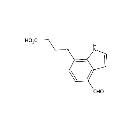 O=Cc1ccc(SCCC(=O)O)c2[nH]ccc12